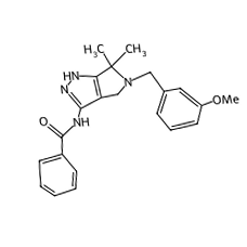 COc1cccc(CN2Cc3c(NC(=O)c4ccccc4)n[nH]c3C2(C)C)c1